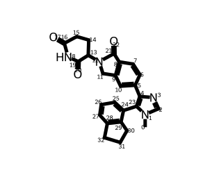 Cn1cnc(-c2ccc3c(c2)CN(C2CCC(=O)NC2=O)C3=O)c1-c1cccc2c1CCC2